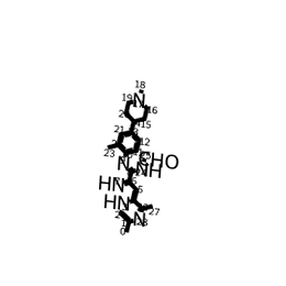 CC1=CN/C(=C\C(=N)/C(=N/c2ccc(C3CCN(C)CC3)cc2C)NC=O)C(C)=N1